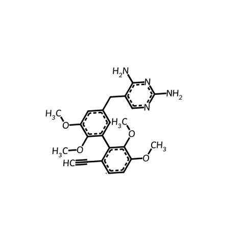 C#Cc1[c]cc(OC)c(OC)c1-c1cc(Cc2cnc(N)nc2N)cc(OC)c1OC